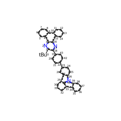 CC(C)(C)c1nc2c3ccccc3c3ccccc3c2nc1-c1ccc(-c2ccc3c(c2)c2cccc4c5ccccc5n3c42)cc1